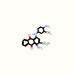 CC1CC(Nc2cc(S(=O)(=O)O)c(N)c3c2C(=O)c2ccccc2C3=O)CCC1N